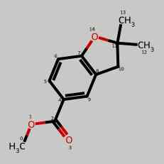 COC(=O)c1ccc2c(c1)CC(C)(C)O2